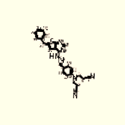 N#CCCN(CCC#N)c1ccc(/C=N/Nc2ncnc3sc(Cc4ccccc4)cc23)cc1